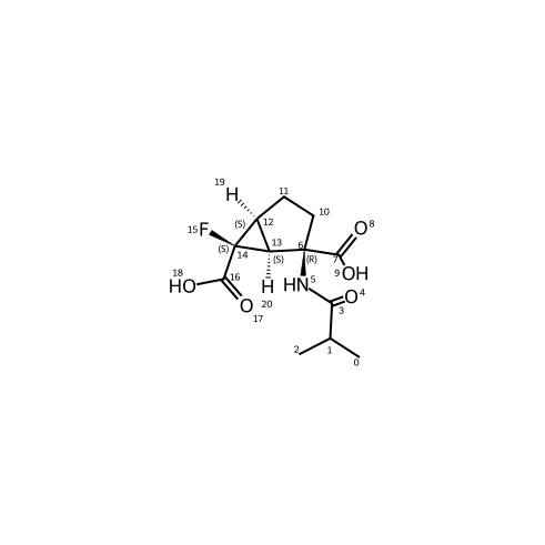 CC(C)C(=O)N[C@]1(C(=O)O)CC[C@H]2[C@@H]1[C@]2(F)C(=O)O